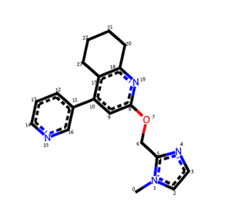 Cn1ccnc1COc1cc(-c2cccnc2)c2c(n1)CCCC2